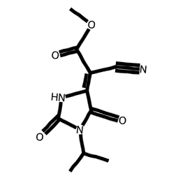 COC(=O)C(C#N)=C1NC(=O)N(C(C)C)C1=O